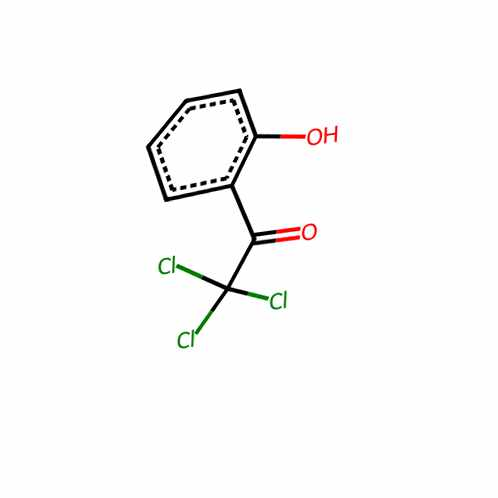 O=C(c1ccccc1O)C(Cl)(Cl)Cl